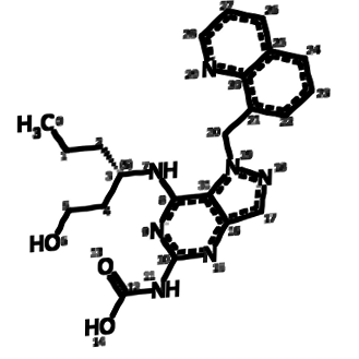 CCC[C@@H](CCO)Nc1nc(NC(=O)O)nc2cnn(Cc3cccc4cccnc34)c12